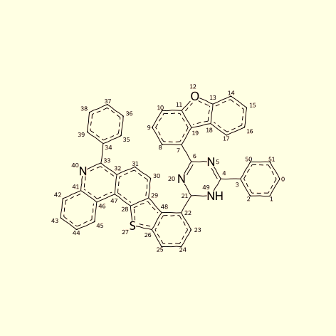 c1ccc(C2=NC(c3cccc4oc5ccccc5c34)=NC(c3cccc4sc5c(ccc6c(-c7ccccc7)nc7ccccc7c65)c34)N2)cc1